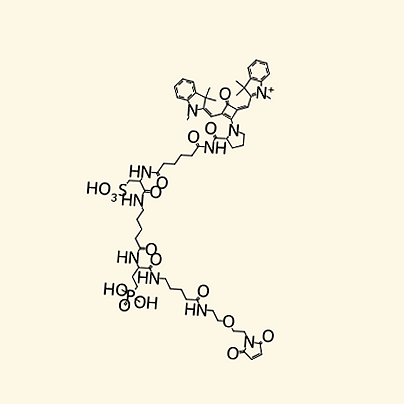 CN1/C(=C/C2=C(N3CCCC3C(=O)NC(=O)CCCCC(=O)NC(CS(=O)(=O)O)C(=O)NCCCCC(=O)NC(CCP(=O)(O)O)C(=O)NCCCCC(=O)NCCOCCN3C(=O)C=CC3=O)C(=C/C3=[N+](C)c4ccccc4C3(C)C)/C2=O)C(C)(C)c2ccccc21